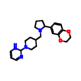 C1=CNC(N2CCC(CN3CCCC3c3ccc4c(c3)OCCO4)CC2)N=C1